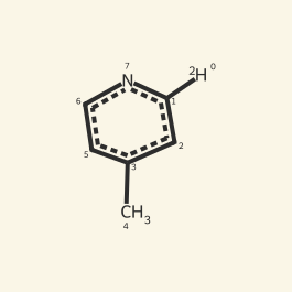 [2H]c1cc(C)ccn1